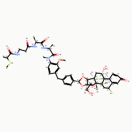 COc1cc(Cc2ccc([C@@H]3O[C@@H]4C[C@H]5[C@@H]6C[C@H](F)C7=CC(=O)C=C[C@]7(C)[C@@]6(F)[C@@H](O)C[C@]5(C)[C@]4(C(=O)CO)O3)cc2)ccc1N(C)C(=O)[C@H](C)NC(=O)[C@H](C)NC(=O)CCNC(=O)C(C)SC